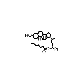 CC(C)CCCC(C)[C@H]1CC[C@H]2[C@@H]3CC=C4C[C@@H](O)CC[C@]4(C)[C@H]3CC[C@]12C.CCCCCCC(=O)O